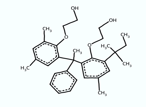 CCC(C)(C)c1cc(C)cc(C(C)(c2ccccc2)c2cc(C)cc(C)c2OCCO)c1OCCO